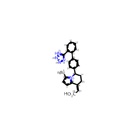 CCCCc1ccc2n1C(c1ccc(-c3ccccc3-c3nnn[nH]3)cc1)CC/C2=C/C(=O)O